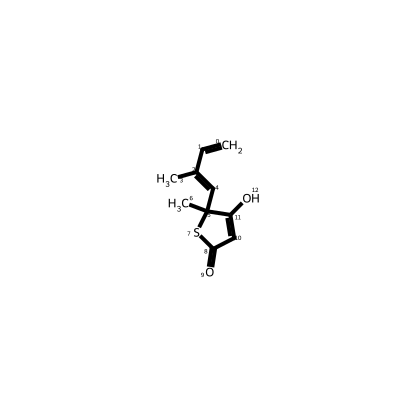 C=C/C(C)=C/C1(C)SC(=O)C=C1O